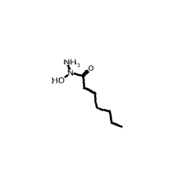 CCCCCCC(=O)N(N)O